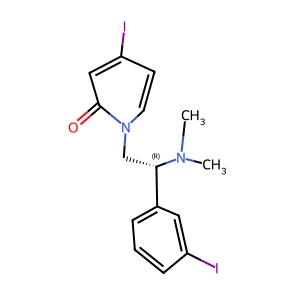 CN(C)[C@@H](Cn1ccc(I)cc1=O)c1cccc(I)c1